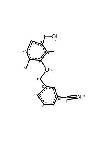 Cc1ncc(CO)c(C)c1OCc1cccc(C#N)c1